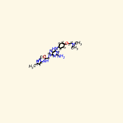 CCn1nc(C)cc1NC(=O)Cn1cnc2c(Nc3ccc(OCCN(C)C)cc3)nc(N)nc21